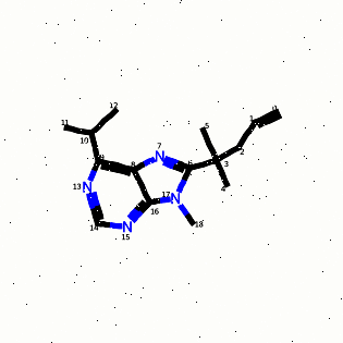 C=CCC(C)(C)c1nc2c(C(C)C)ncnc2n1C